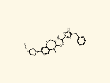 CN1C(=O)[C@@H](NC(=O)c2n[nH]c(Cc3ccccc3)n2)CSc2cc(N3CC[C@H](CF)C3)ncc21